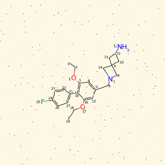 CCOc1cc(CN2CC3(CC(N)C3)C2)cc(OCC)c1-c1ccc(F)cc1